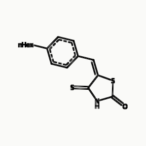 CCCCCCc1ccc(C=C2SC(=O)NC2=S)cc1